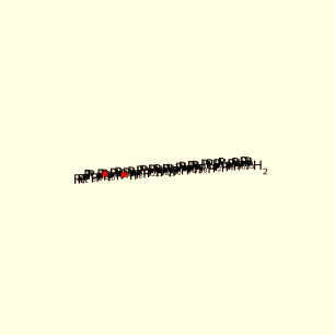 P#P=P\P=P/P=P\P=P/P=P\P=P/P=P\P=P/P=P\P=P/P=P\P=P/P=P\P=P/P=P\P=P/P=P\P=P/P=P\P=P/P=P\P=P/P=P\P=P/P=P\P=P/P